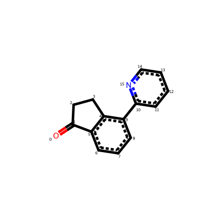 O=C1CCc2c1cccc2-c1ccccn1